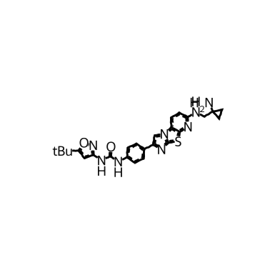 CC(C)(C)c1cc(NC(=O)Nc2ccc(-c3cn4c(n3)sc3nc(NCC5(N)CC5)ccc34)cc2)no1